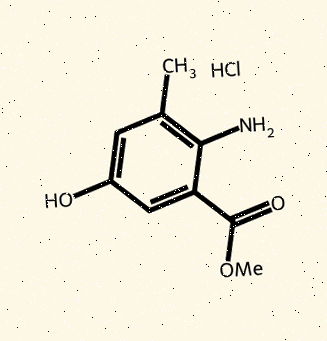 COC(=O)c1cc(O)cc(C)c1N.Cl